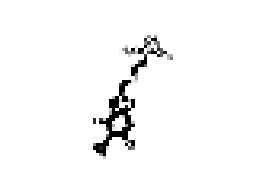 C[Si](C)(C)CCOCn1cc2c(F)c(C3CC3)c(Cl)cc2n1